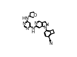 N#Cc1ccc(-n2ncc3cnc(Nc4cc(N[C@@H]5CCOC5)ncn4)cc32)c2c1CC2